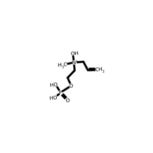 C=CC[N+](C)(O)CCOP(=O)(O)O